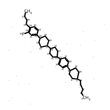 CCCCCC1CCC(c2ccc(C3CCC(C4CCC(c5ccc(CCCC)c(F)c5)CC4)CC3)cc2)CC1